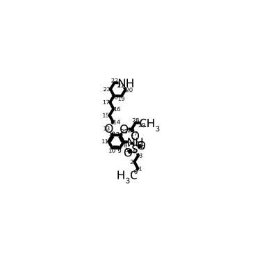 CCCCS(=O)(=O)Nc1cccc(OCCCCC2CCNCC2)c1OC(=O)CC